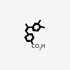 CC(=Cc1ccc(C(=O)O)cc1)c1ccc(C)c(C)c1